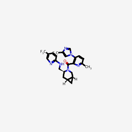 Cc1ccc(-n2cnc(C(F)(F)F)c2)c(C(=O)N2C[C@@H]3C[C@@H]3C[C@H]2CNc2ccc(C(F)(F)F)cn2)n1